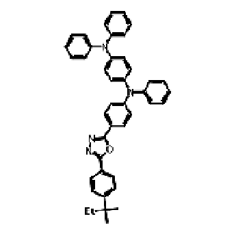 CCC(C)(C)c1ccc(-c2nnc(-c3ccc(N(c4ccccc4)c4ccc(N(c5ccccc5)c5ccccc5)cc4)cc3)o2)cc1